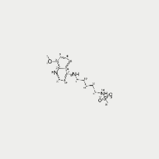 COc1cccc2c(NCCCCCNS(C)(=O)=O)ccnc12